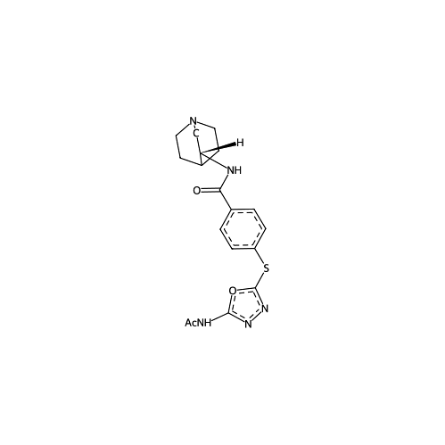 CC(=O)Nc1nnc(Sc2ccc(C(=O)N[C@H]3CN4CCC3CC4)cc2)o1